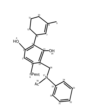 CCCCCc1cc(O)c(C2C=C(C)CCC2)c(O)c1CN(C(C)=O)c1ccccc1